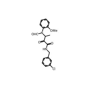 COc1ccccc1N(C=O)C(C)C(=O)C(=O)NCc1cccc(Cl)c1